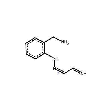 N=C/C=N\Nc1ccccc1CN